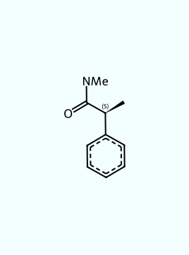 CNC(=O)[C@@H](C)c1ccccc1